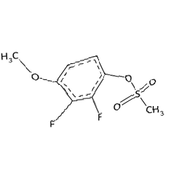 COc1ccc(OS(C)(=O)=O)c(F)c1F